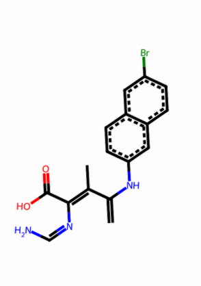 C=C(Nc1ccc2cc(Br)ccc2c1)/C(C)=C(\N=C/N)C(=O)O